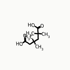 CC(C)(CC(=O)O)CC(C)(C)C(=O)O